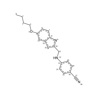 CCCCOc1ccc2nc(CNc3ccc(C#N)cc3)sc2c1